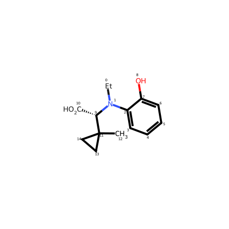 CCN(c1ccccc1O)[C@@H](C(=O)O)C1(C)CC1